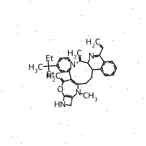 C=CC1=NC2C(=C)[n+]3ccc(C(C)(CC)CC)cc3C3=C(CCC2c2ccccc21)N(C)C1=C(NC1)OC3=C